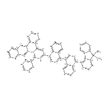 CC1(C)c2ccccc2-c2c(-c3ccc(-c4ccc(-c5cc(-c6ccccc6-c6ccc7ccccc7c6)nc(-c6ccccc6)n5)c5ccccc45)c4ccccc34)cccc21